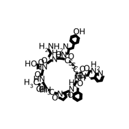 CC(C)[C@@H]1NC(=O)[C@H](CC(=O)O)NC(=O)[C@H](CCCN)NC(=O)[C@@H](NC(=O)[C@@H](N)Cc2ccc(O)cc2)CSSC[C@@H](C(=O)N[C@@H](Cc2cccnc2)C(N)=O)NC(=O)[C@H](Cc2ccccc2)NC(=O)[C@@H]2CCCN2C(=O)CNC1=O